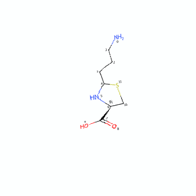 NCCCC1N[C@H](C(=O)O)CS1